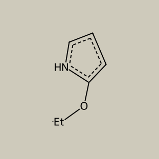 C[CH]Oc1ccc[nH]1